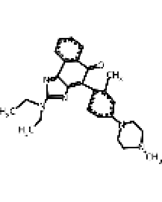 CCN(CC)C1=NC2=C(c3ccc(N4CCN(C)CC4)cc3C)C(=O)c3ccccc3C2=N1